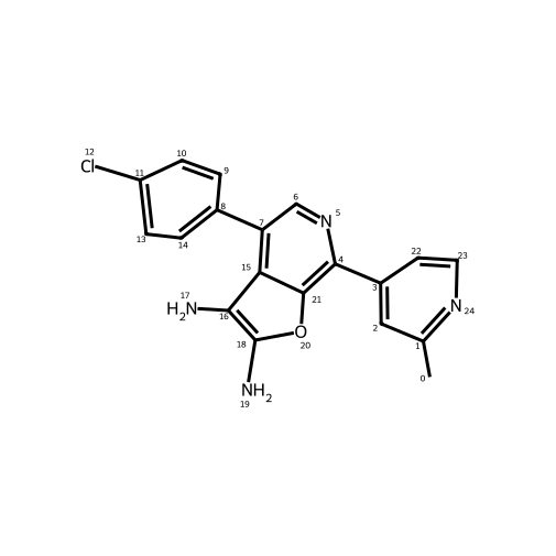 Cc1cc(-c2ncc(-c3ccc(Cl)cc3)c3c(N)c(N)oc23)ccn1